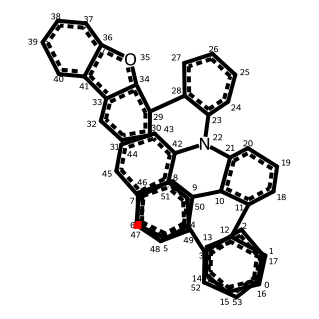 c1ccc(-c2ccccc2-c2c(-c3ccccc3)cccc2N(c2ccccc2-c2cccc3c2oc2ccccc23)c2cccc3ccccc23)cc1